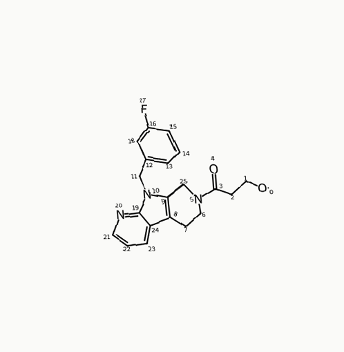 [O]CCC(=O)N1CCc2c(n(Cc3cccc(F)c3)c3ncccc23)C1